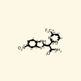 NC(=O)C(=C1Nc2ccc([N+](=O)[O-])cc2S1)c1nccc(C(F)(F)F)n1